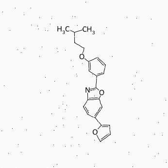 CC(C)CCOc1cccc(-c2nc3ccc(-c4ccco4)cc3o2)c1